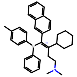 Cc1ccc(B(/C(=C(\CCN(C)C)C2CCCCC2)c2ccc3ccccc3c2)c2ccccc2)cc1